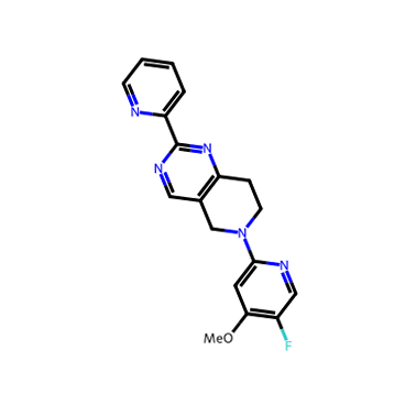 COc1cc(N2CCc3nc(-c4ccccn4)ncc3C2)ncc1F